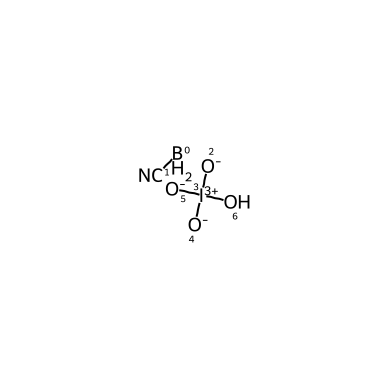 BC#N.[O-][I+3]([O-])([O-])O